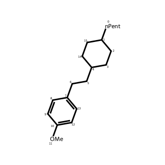 CCCCCC1CCC(CCc2ccc(OC)cc2)CC1